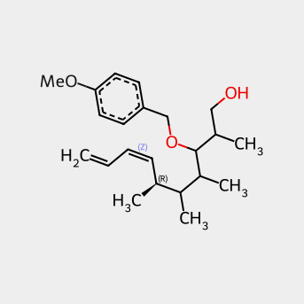 C=C/C=C\[C@H](C)C(C)C(C)C(OCc1ccc(OC)cc1)C(C)CO